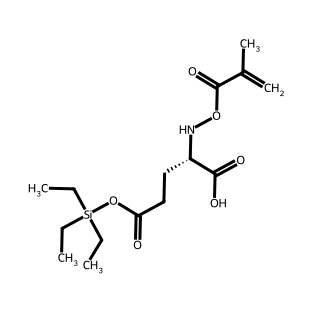 C=C(C)C(=O)ON[C@@H](CCC(=O)O[Si](CC)(CC)CC)C(=O)O